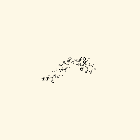 CC(C)(C)OC(=O)N1CCN(c2ccc(C(=O)NC[C@H](NS(=O)(=O)c3ccccc3)C(=O)O)cc2)CC1